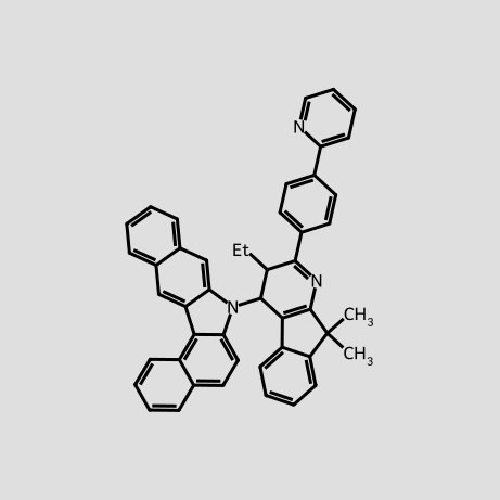 CCC1C(c2ccc(-c3ccccn3)cc2)=NC2=C(c3ccccc3C2(C)C)C1n1c2cc3ccccc3cc2c2c3ccccc3ccc21